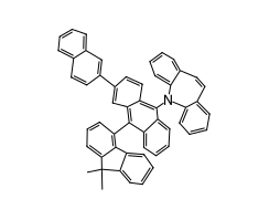 CC1(C)c2ccccc2-c2c(-c3c4ccccc4c(N4c5ccccc5C=Cc5ccccc54)c4ccc(-c5ccc6ccccc6c5)cc34)cccc21